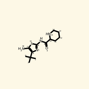 CC(C)(C)c1nc(NC(=O)C2CCCCN2)sc1N